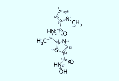 CC(NC(=O)c1cccn1C)c1ncc(C(=O)NO)s1